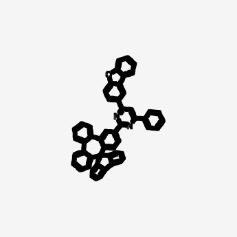 c1ccc(-c2cc(-c3ccc4oc5ccccc5c4c3)nc(-c3ccc4c(c3)-c3ccccc3-c3ccccc3C43c4ccccc4-c4ccccc43)n2)cc1